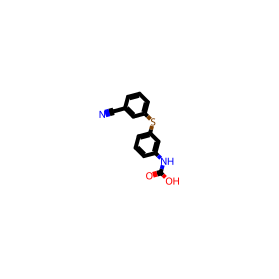 N#Cc1cccc(Sc2cccc(NC(=O)O)c2)c1